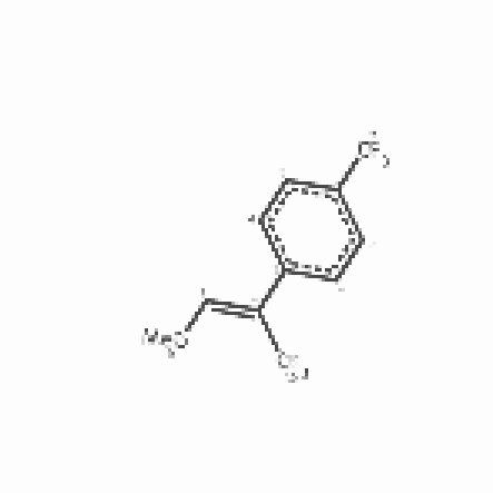 CO/C=C(/c1ccc(C(F)(F)F)cc1)C(F)(F)F